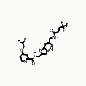 O=C(CCC(F)(F)F)NCc1cnn2cc(CNC(=O)c3cc(OCC(F)F)ccn3)nc2c1